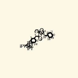 CC(C)[Si](Oc1ccc(CC(=O)N2C(=O)OC[C@H]2Cc2ccccc2)cc1)(C(C)C)C(C)C